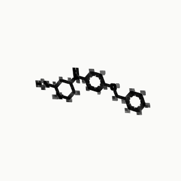 NC1CC(Nc2ccc(OCc3ccccc3)cc2)CC[N]1